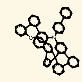 c1ccc(-c2ccc(N(c3ccc4c(c3)-c3ccccc3-c3ccccc3O4)c3ccc4c(c3)C3(c5ccccc5-c5ccccc5-4)c4ccccc4-c4c3ccc3ccccc43)cc2)cc1